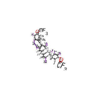 FC(F)(F)Oc1ccc(-c2c(I)cc(Cc3cc(I)c(-c4ccc(OC(F)(F)F)c(I)c4I)c(I)c3)cc2I)c(I)c1I